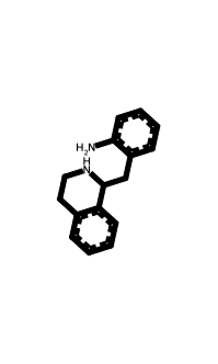 Nc1ccccc1CC1NCCc2ccccc21